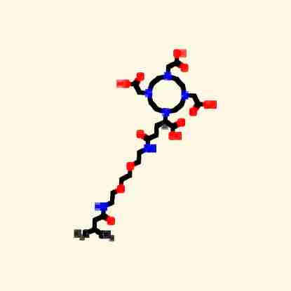 CC(C)CC(=O)NCCOCCOCCNC(=O)CC[C@H](C(=O)O)N1CCN(CC(=O)O)CCN(CC(=O)O)CCN(CC(=O)O)CC1